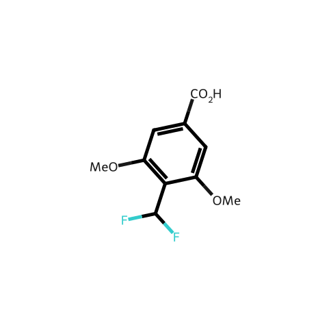 COc1cc(C(=O)O)cc(OC)c1C(F)F